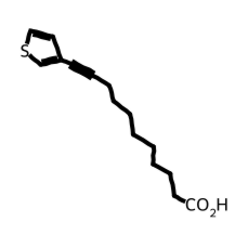 O=C(O)CCCCCCCCC#Cc1ccsc1